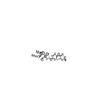 COC(=O)C(=O)N(CCOc1ccc(Oc2ccc(F)cc2)cc1)C(=O)OC